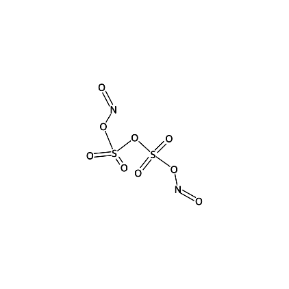 O=NOS(=O)(=O)OS(=O)(=O)ON=O